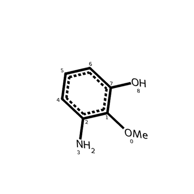 COc1c(N)cccc1O